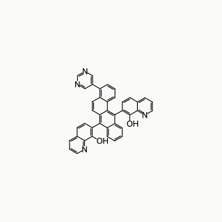 Oc1c(-c2c3ccccc3c(-c3ccc4cccnc4c3O)c3c2ccc2c(-c4cncnc4)cccc23)ccc2cccnc12